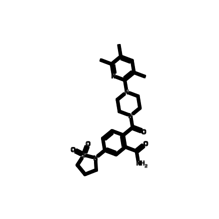 Cc1cc(C)c(N2CCN(C(=O)c3ccc(N4CCCS4(=O)=O)cc3C(N)=O)CC2)nc1C